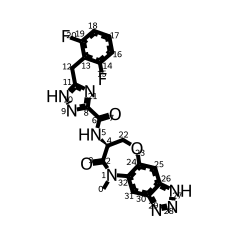 CN1C(=O)[C@@H](NC(=O)c2n[nH]c(Cc3c(F)cccc3F)n2)COc2cc3[nH]nnc3cc21